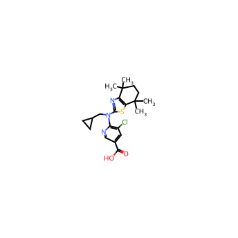 CC1(C)CCC(C)(C)c2sc(N(CC3CC3)c3ncc(C(=O)O)cc3Cl)nc21